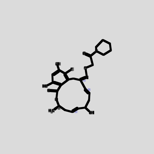 C[C@@H]1C/C=C/C(O)C/C=C/C(=N/OCC(=O)N2CCCCC2)Cc2c(Cl)c(O)cc(O)c2C(=O)O1